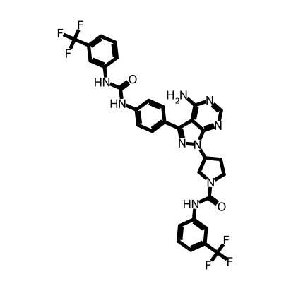 Nc1ncnc2c1c(-c1ccc(NC(=O)Nc3cccc(C(F)(F)F)c3)cc1)nn2C1CCN(C(=O)Nc2cccc(C(F)(F)F)c2)C1